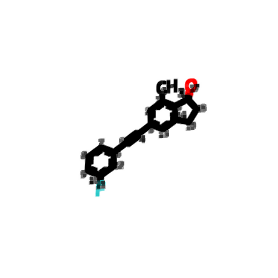 Cc1cc(C#Cc2cccc(F)c2)cc2c1C(=O)CC2